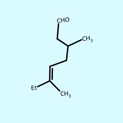 CCC(C)=CCC(C)CC=O